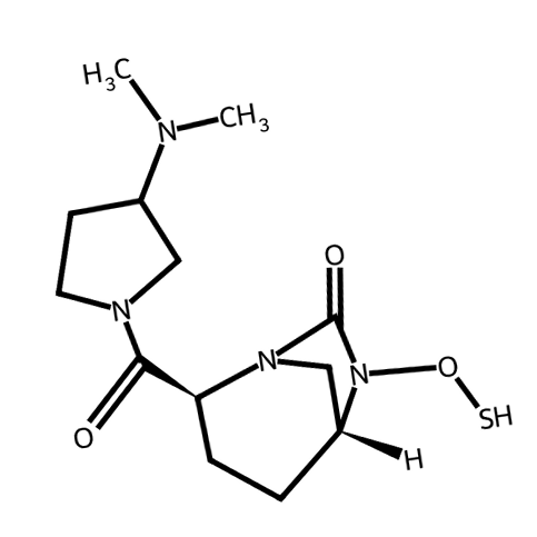 CN(C)C1CCN(C(=O)[C@@H]2CC[C@@H]3CN2C(=O)N3OS)C1